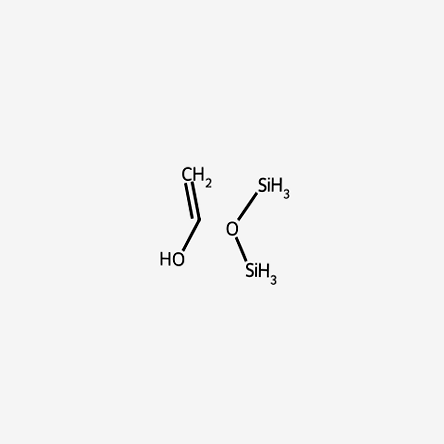 C=CO.[SiH3]O[SiH3]